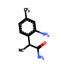 N#CC(C(N)=O)c1ccc(C(F)(F)F)cc1N